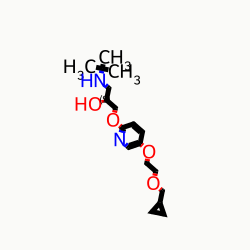 CC(C)(C)NC[C@H](O)COc1ccc(OCCOCC2CC2)cn1